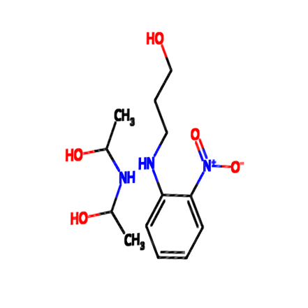 CC(O)NC(C)O.O=[N+]([O-])c1ccccc1NCCCO